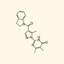 Cc1nc(-n2ncc(C(=O)N3c4ccccc4C[C@H]3C)c2C)[nH]c(=O)c1C